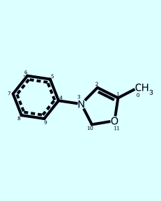 CC1=CN(c2c[c]ccc2)CO1